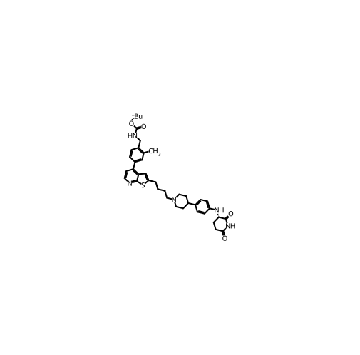 Cc1cc(-c2ccnc3sc(CCCCN4CCC(c5ccc(N[C@H]6CCC(=O)NC6=O)cc5)CC4)cc23)ccc1CNC(=O)OC(C)(C)C